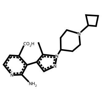 Cc1c(-c2c(C(=O)O)ccnc2N)cnn1C1CCN(C2CCC2)CC1